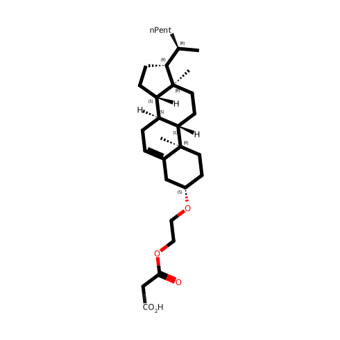 CCCCC[C@@H](C)[C@H]1CC[C@H]2[C@@H]3CC=C4C[C@@H](OCCOC(=O)CC(=O)O)CC[C@]4(C)[C@H]3CC[C@]12C